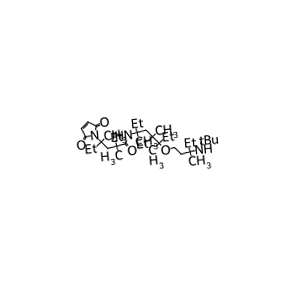 CCC(C)(CC(C)(CC)C(C)(CC)OCCC(C)(CC)NC(C)(C)C)NC(=O)C(C)(CC)CC(C)(CC)N1C(=O)C=CC1=O